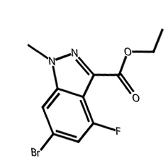 CCOC(=O)c1nn(C)c2cc(Br)cc(F)c12